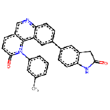 O=C1Cc2cc(-c3ccc4ncc5ccc(=O)n(-c6cccc(C(F)(F)F)c6)c5c4c3)ccc2N1